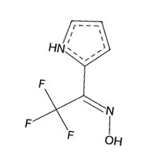 ON=C(c1ccc[nH]1)C(F)(F)F